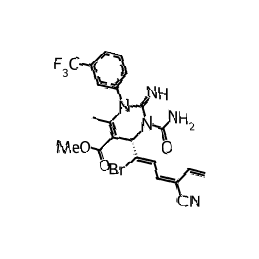 C=C/C(C#N)=C\C=C(/Br)[C@@H]1C(C(=O)OC)=C(C)N(c2cccc(C(F)(F)F)c2)C(=N)N1C(N)=O